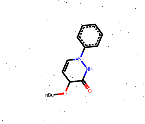 CCCCOC1C=CN(c2ccccc2)NC1=O